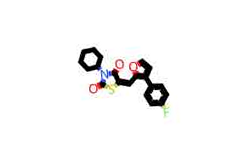 O=C1SC(=Cc2occc2-c2ccc(F)cc2)C(=O)N1C1CCCCC1